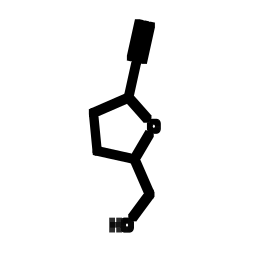 C#CC1CCC(CO)O1